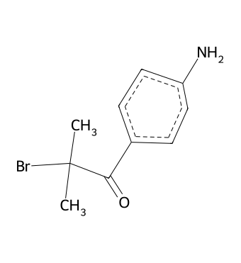 CC(C)(Br)C(=O)c1ccc(N)cc1